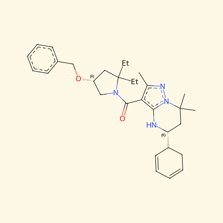 CCC1(CC)C[C@@H](OCc2ccccc2)CN1C(=O)c1c(C)nn2c1N[C@@H](C1C=CC=CC1)CC2(C)C